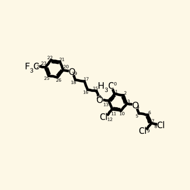 Cc1cc(OCC=C(Cl)Cl)cc(Cl)c1OCCCCOc1ccc(C(F)(F)F)cc1